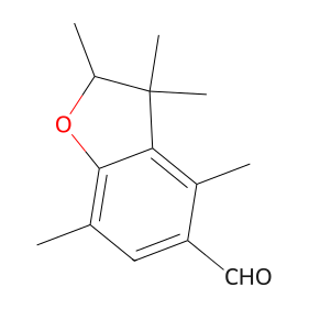 Cc1cc(C=O)c(C)c2c1OC(C)C2(C)C